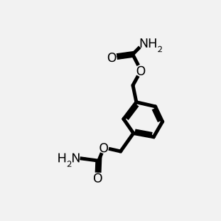 NC(=O)OCc1cccc(COC(N)=O)c1